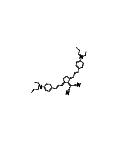 CCCN(CC)c1ccc(/C=C/C=C2\CC/C(=C\C=C\c3ccc(N(CC)CCC)cc3)C2=C(C#N)C#N)cc1